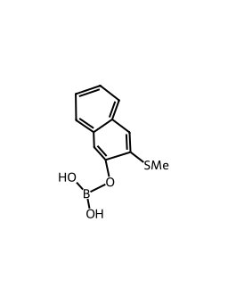 CSc1cc2ccccc2cc1OB(O)O